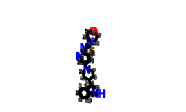 c1ccc2c(C3CCN(c4cnc5nc(N6CCOCC6)sc5c4)CC3)c[nH]c2c1